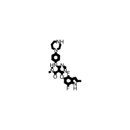 Cc1cc2c(F)c(Oc3ncnc(Nc4ccc(N5CCCNCC5)cc4)c3C(=O)N(C)C)cc(F)c2[nH]1